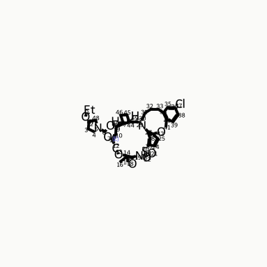 CCO[C@H]1CCN(C(=O)O[C@H]2/C=C/COC(C)(C)C(=O)NS(=O)(=O)c3ccc4c(c3)N(CCCCc3cc(Cl)ccc3CO4)C[C@@H]3CC[C@H]32)C1